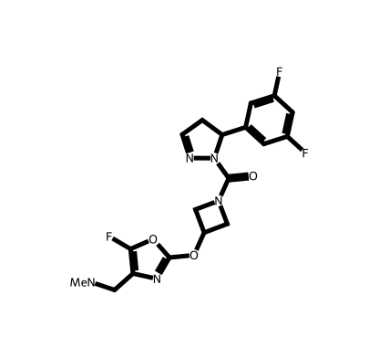 CNCc1nc(OC2CN(C(=O)N3N=CCC3c3cc(F)cc(F)c3)C2)oc1F